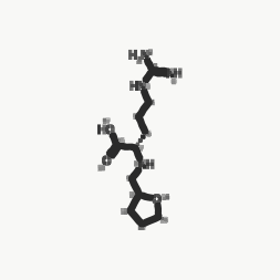 N=C(N)NCCC[C@H](NCC1CCCO1)C(=O)O